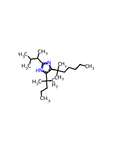 CCCCCC(C)(C)c1nc(C(C)C(C)C)[nH]c1C(C)(C)CCC